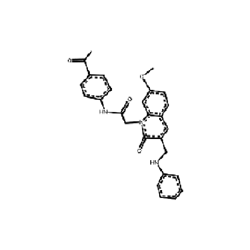 COc1ccc2cc(CNc3ccccc3)c(=O)n(CC(=O)Nc3ccc(C(C)=O)cc3)c2c1